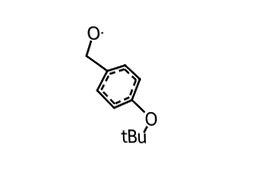 CC(C)(C)Oc1ccc(C[O])cc1